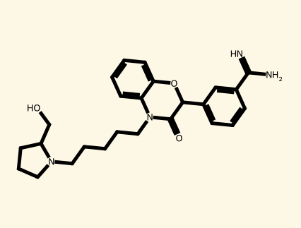 N=C(N)c1cccc(C2Oc3ccccc3N(CCCCCN3CCCC3CO)C2=O)c1